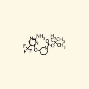 CC(C)(C)OC(=O)N1CCCC(Oc2nc(N)ncc2C(F)(F)F)C1